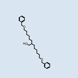 OCC(CCCCCCOCc1ccccc1)CCCCCCOCc1ccccc1